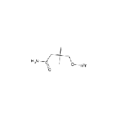 CCCOCC(C)(C)CC(N)=O